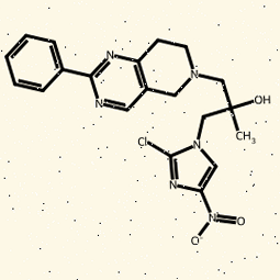 CC(O)(CN1CCc2nc(-c3ccccc3)ncc2C1)Cn1cc([N+](=O)[O-])nc1Cl